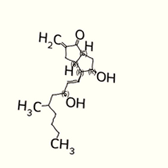 C=C1C[C@H]2[C@H](C=C[C@@H](O)CC(C)CCCC)[C@H](O)C[C@@H]2C1=O